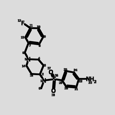 CN(C1CCN(Cc2cccc(F)c2)CC1)S(=O)(=O)c1ccc(N)cc1